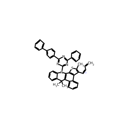 C=C/C=C\c1c(C)sc2c3c(c4ccccc4c12)C(C)(C)c1ccccc1N3c1nc(-c2ccccc2)nc(-c2ccc(-c3ccccc3)cc2)n1